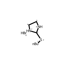 Br.CCCCSC1NCCN1